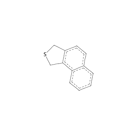 c1ccc2c3c(ccc2c1)CSC3